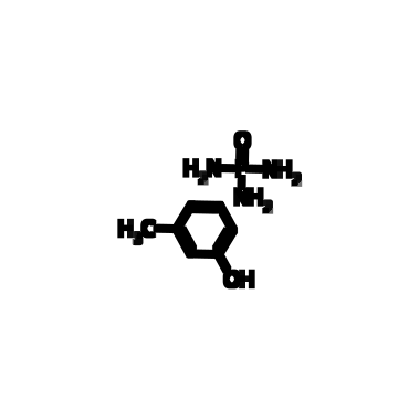 Cc1cccc(O)c1.NP(N)(N)=O